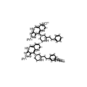 CC(C)n1nc2c(n1)C(N1CCNC(CCc3ccccc3)C1)=c1ncccc1=CN2.CC(C)n1nc2c(n1)C(N1CCNC(CCc3ccccc3)C1)=c1ncccc1=CN2.Cl.Cl.Cl.Cl.O